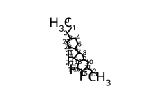 CCCC1CCC(C2CC3CC(CC)C(F)C(F)C3C2(F)F)CC1